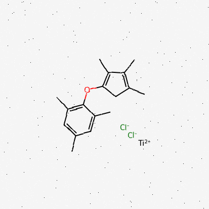 CC1=C(C)C(C)=C(Oc2c(C)cc(C)cc2C)C1.[Cl-].[Cl-].[Ti+2]